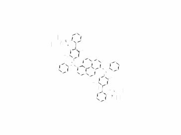 C[Si](C)(C)c1ccccc1-c1cc(F)c(N(c2ccccc2)c2ccc3ccc4c(N(c5ccccc5)c5cc(F)c(-c6ccccc6[Si](C)(C)C)cc5F)ccc5ccc2c3c54)cc1F